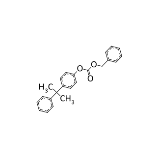 CC(C)(c1ccccc1)c1ccc(OC(=O)OCc2ccccc2)cc1